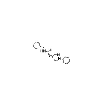 S=C(N=c1ccn(-c2ccccc2)nc1)NCc1ccccc1